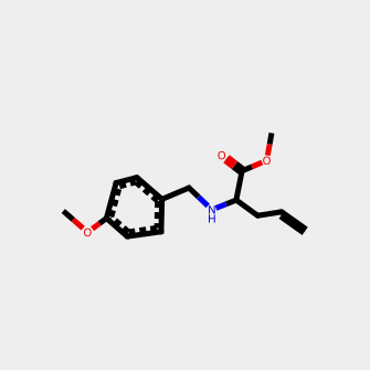 C=CCC(NCc1ccc(OC)cc1)C(=O)OC